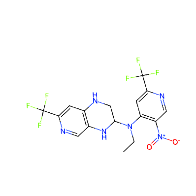 CCN(c1cc(C(F)(F)F)ncc1[N+](=O)[O-])C1CNc2cc(C(F)(F)F)ncc2N1